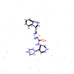 O=C(Nc1cnccc1N1CCNCC1)c1nnc(-c2c[nH]c3ccccc23)s1